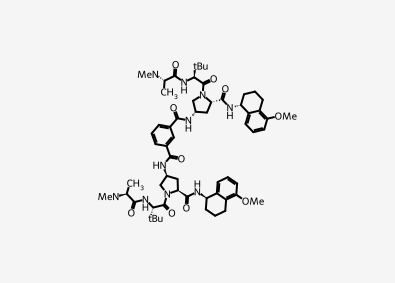 CN[C@@H](C)C(=O)N[C@H](C(=O)N1C[C@@H](NC(=O)c2cccc(C(=O)N[C@H]3C[C@@H](C(=O)N[C@@H]4CCCc5c(OC)cccc54)N(C(=O)[C@@H](NC(=O)[C@H](C)NC)C(C)(C)C)C3)c2)C[C@H]1C(=O)N[C@@H]1CCCc2c(OC)cccc21)C(C)(C)C